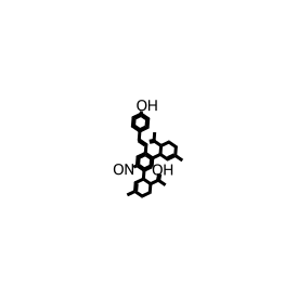 C=C(C)C1CCC(C)=CC1c1c(/C=C/c2ccc(O)cc2)cc(N=O)c(C2C=C(C)CCC2C(=C)C)c1O